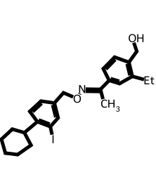 CCc1cc(/C(C)=N/OCc2ccc(C3CCCCC3)c(I)c2)ccc1CO